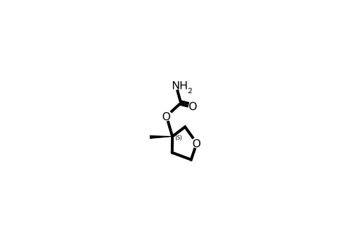 C[C@]1(OC(N)=O)CCOC1